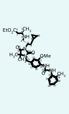 CCOC(=O)C[C@@H](C)NC[C@H](CC1CC1)N1C(=O)N(Cc2ccc(NC(=O)Nc3ccccc3C)c(OC)c2)C(C)(C)C1=O